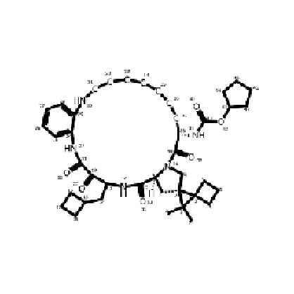 CC1(C)C2(CCC2)[C@@]12C[C@H]1C(=O)NC(CC3CCC3)C(=O)C(=O)Nc3ccccc3NCCCCCCC[C@H](NC(=O)OC3CCCC3)C(=O)N1C2